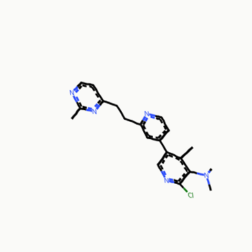 Cc1nccc(CCc2cc(-c3cnc(Cl)c(N(C)C)c3C)ccn2)n1